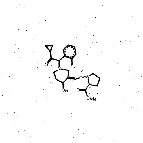 COC(=O)[C@@H]1CCCN1C/C=C1\CN(C(C(=O)C2CC2)c2ccccc2F)CCC1O